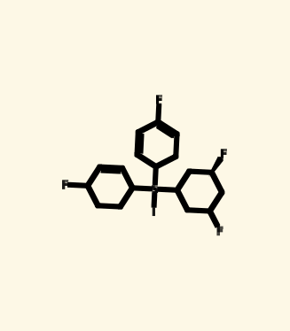 FC1=CCC(S(I)(C2C=CC(F)CC2)C2CC(F)C[C@H](F)C2)C=C1